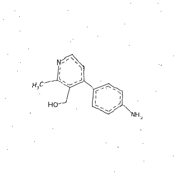 Cc1nccc(-c2ccc(N)cc2)c1CO